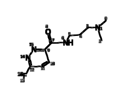 CN(C)CCCNC(=O)c1ccc([18F])nn1